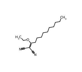 CCCCCCCCCCC(OCC)=C(C#N)C#N